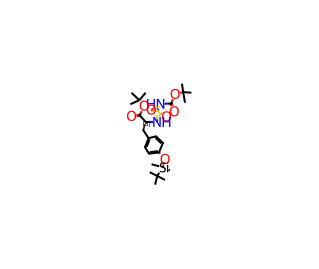 CC(C)(C)OC(=O)NS(=O)(=O)N[C@@H](Cc1ccc(O[Si](C)(C)C(C)(C)C)cc1)C(=O)OC(C)(C)C